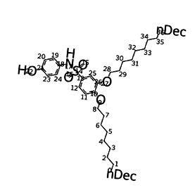 CCCCCCCCCCCCCCCCCCOc1ccc(S(=O)(=O)Nc2ccc(O)cc2)cc1OCCCCCCCCCCCCCCCCCC